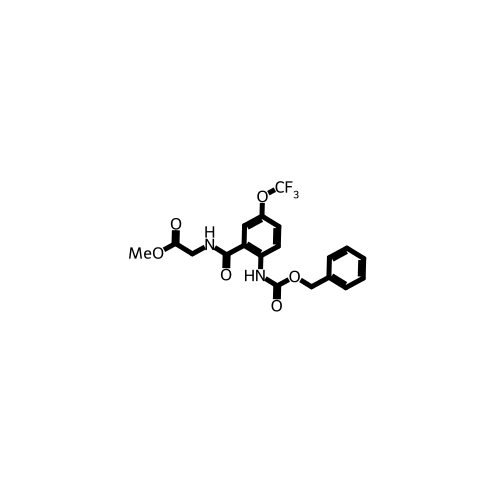 COC(=O)CNC(=O)c1cc(OC(F)(F)F)ccc1NC(=O)OCc1ccccc1